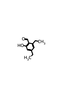 CCc1cc(O)c(C=O)c(CC)c1